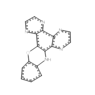 c1ccc2c(c1)Nc1c(c3nccnc3c3nccnc13)O2